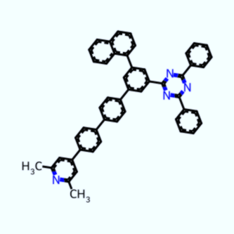 Cc1cc(-c2ccc(-c3ccc(-c4cc(-c5nc(-c6ccccc6)nc(-c6ccccc6)n5)cc(-c5cccc6ccccc56)c4)cc3)cc2)cc(C)n1